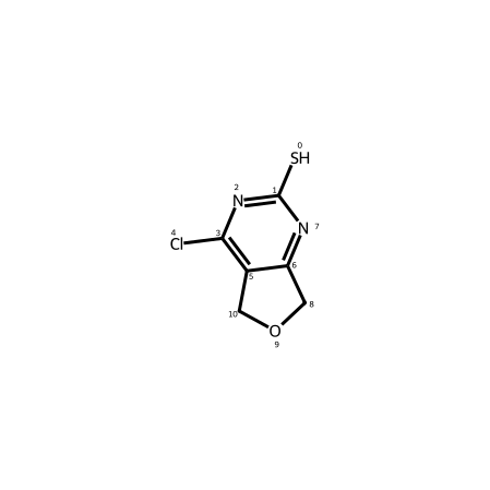 Sc1nc(Cl)c2c(n1)COC2